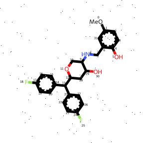 COc1ccc(O)c(CNC2COC(C(c3ccc(F)cc3)c3ccc(F)cc3)CC2O)c1